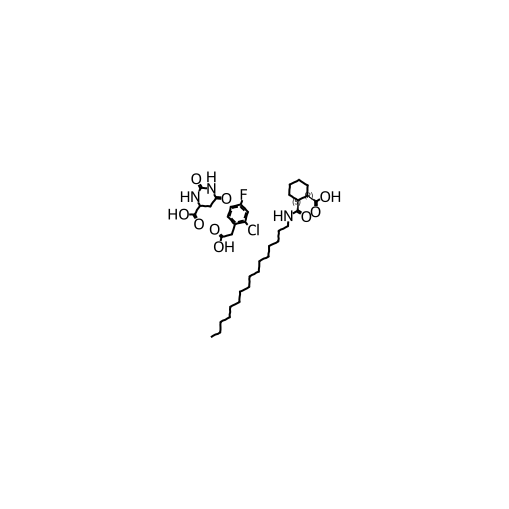 CCCCCCCCCCCCCCCCNC(=O)[C@H]1CCCC[C@H]1C(=O)O.O=C(O)Cc1ccc(F)cc1Cl.O=C1CC(C(=O)O)NC(=O)N1